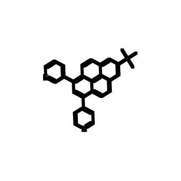 CC(C)(C)c1cc2ccc3c(-c4ccncc4)cc(-c4cccnc4)c4ccc(c1)c2c34